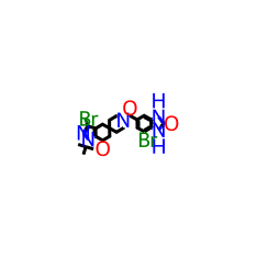 CC(C)(C)n1nc(Br)c2c1C(=O)CC1(CCN(C(=O)c3cc(Br)c4[nH]c(=O)[nH]c4c3)CC1)C2